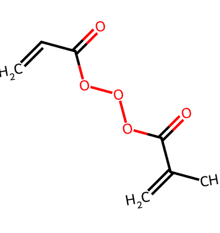 C=CC(=O)OOOC(=O)C(=C)C